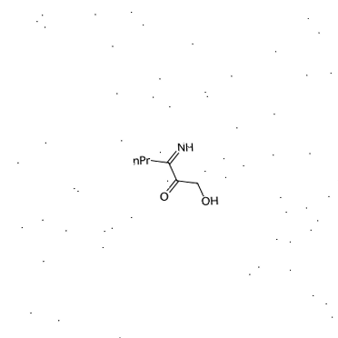 C[CH]CC(=N)C(=O)CO